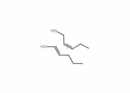 CC/C=C\CO.CCCC=CO